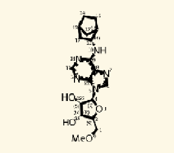 COC[C@@H]1O[C@H](n2cnc3c(N[C@@H]4CC5CCC4C5)ncnc32)[C@@H](O)[C@H]1O